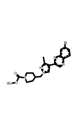 Cc1nn(CC2CCN(C(=O)OC(C)(C)C)CC2)cc1-c1cnc2ccc(Br)cc2n1